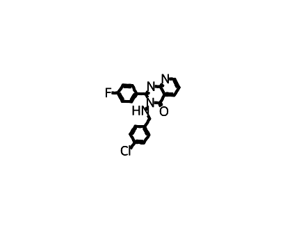 O=c1c2cccnc2nc(-c2ccc(F)cc2)n1NCc1ccc(Cl)cc1